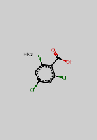 O=C(O)c1c(Cl)cc(Cl)cc1Cl.[NaH]